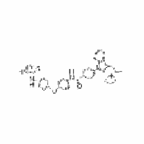 CC(C)NC(=S)Nc1ccc(Oc2ccc(NC(=O)c3ccc(-n4cc(CC(C)N5CCCC5)c5ccccc54)cc3)cc2)cc1